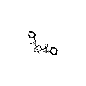 CCC(NCc1ccccc1)OC(=O)C(=O)Nc1ccccc1